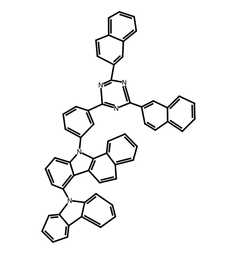 c1cc(-c2nc(-c3ccc4ccccc4c3)nc(-c3ccc4ccccc4c3)n2)cc(-n2c3cccc(-n4c5ccccc5c5ccccc54)c3c3ccc4ccccc4c32)c1